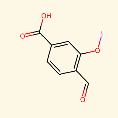 O=Cc1ccc(C(=O)O)cc1OI